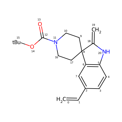 C=Cc1ccc2c(c1)C1(CCN(C(=O)OC(C)(C)C)CC1)C(=C)N2